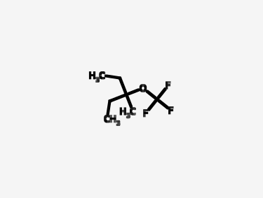 CCC(C)(CC)OC(F)(F)F